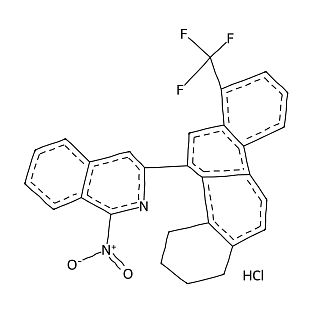 Cl.O=[N+]([O-])c1nc(-c2cc3c(C(F)(F)F)cccc3c3ccc4c(c23)CCCC4)cc2ccccc12